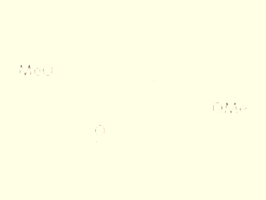 COCCC(=O)COC